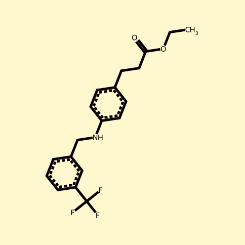 CCOC(=O)CCc1ccc(NCc2cccc(C(F)(F)F)c2)cc1